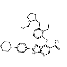 CCc1c(CN2CCC[C@@H]2CO)cccc1Nc1c(C(N)=O)cnc2[nH]c(-c3ccc(N4CCOCC4)cc3)nc12